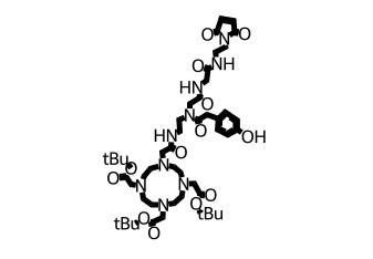 CC(C)(C)OC(=O)CN1CCN(CC(=O)NCCN(CC(=O)NCC(=O)NCCN2C(=O)C=CC2=O)C(=O)Cc2ccc(O)cc2)CCN(CC(=O)OC(C)(C)C)CCN(CC(=O)OC(C)(C)C)CC1